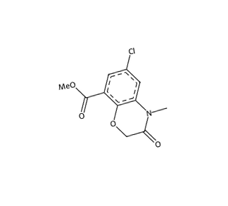 COC(=O)c1cc(Cl)cc2c1OCC(=O)N2C